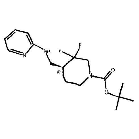 CC(C)(C)OC(=O)N1CC[C@@H](CNc2ccccn2)C(F)(F)C1